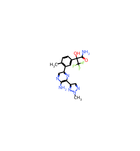 Cc1ccc(C(O)(C(N)=O)C(F)(F)F)cc1-c1cnc(N)c(-c2cnn(C)n2)n1